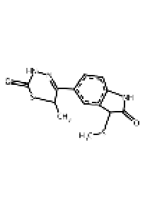 CSC1C(=O)Nc2ccc(C3=NNC(=O)SC3C)cc21